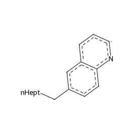 CCCCCCCCc1ccc2n[c]ccc2c1